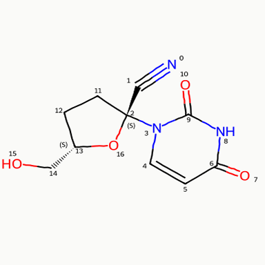 N#C[C@]1(n2ccc(=O)[nH]c2=O)CC[C@@H](CO)O1